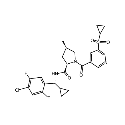 C[C@@H]1C[C@H](C(=O)N[C@@H](c2cc(F)c(Cl)cc2F)C2CC2)N(C(=O)c2cncc(S(=O)(=O)C3CC3)c2)C1